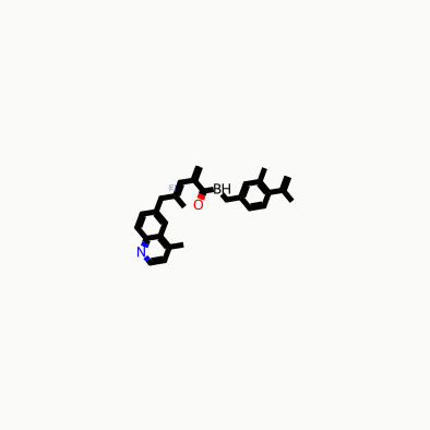 C=C(/C=C(\C)Cc1ccc2nccc(C)c2c1)C(=O)BCc1ccc(C(=C)C)c(C)c1